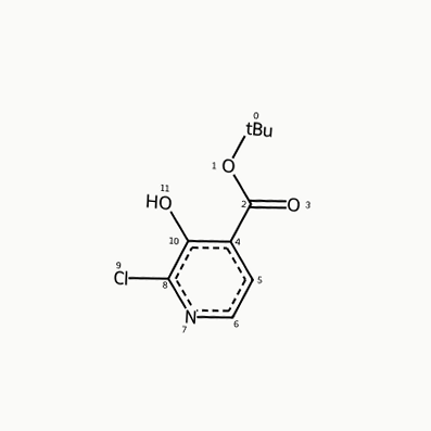 CC(C)(C)OC(=O)c1ccnc(Cl)c1O